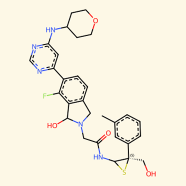 Cc1cccc([C@@]2(CO)SC2NC(=O)CN2Cc3ccc(-c4cc(NC5CCOCC5)ncn4)c(F)c3C2O)c1